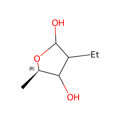 CCC1C(O)O[C@H](C)C1O